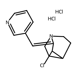 Cl.Cl.ClC1C(=Cc2cccnc2)N2CCC1CC2